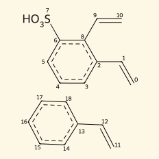 C=Cc1cccc(S(=O)(=O)O)c1C=C.C=Cc1ccccc1